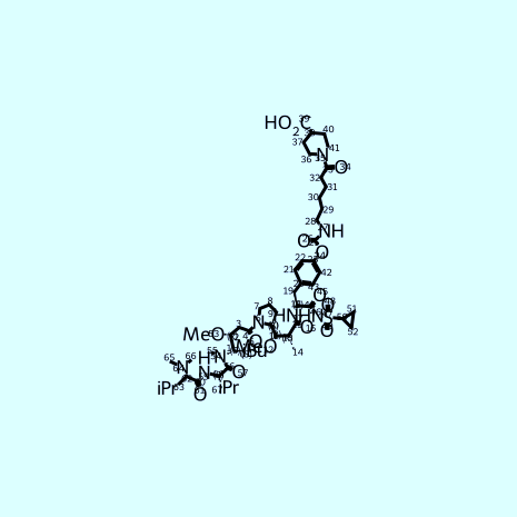 CC[C@H](C)[C@@H]([C@@H](CC(=O)N1CCC[C@H]1[C@H](OC)[C@@H](C)C(=O)N[C@@H](Cc1ccc(OC(=O)NCCCCCC(=O)N2CCC(C(=O)O)CC2)cc1)C(=O)NS(=O)(=O)C1CC1)OC)N(C)C(=O)[C@@H](NC(=O)C(C(C)C)N(C)C)C(C)C